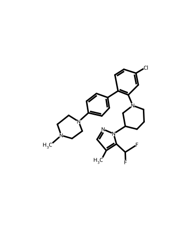 Cc1cnn(C2CCCN(c3cc(Cl)ccc3-c3ccc(N4CCN(C)CC4)cc3)C2)c1C(F)F